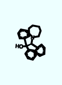 OC(c1ccccc1)(c1ccccc1)[C@H](c1ccccc1)N1CCCCCC1